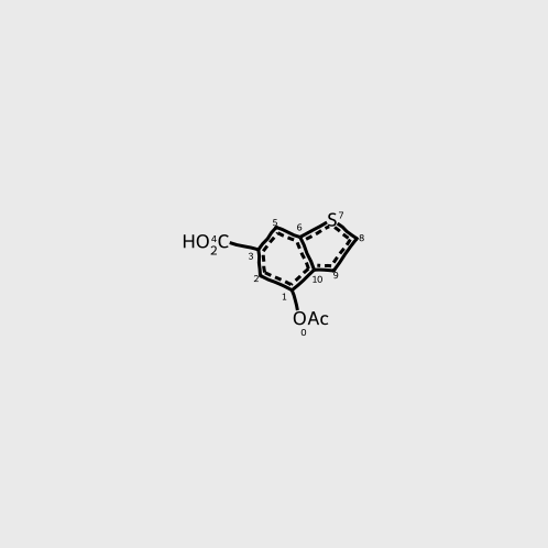 CC(=O)Oc1cc(C(=O)O)cc2sccc12